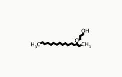 CCCCCCCCCCCCCC(CC)OCCCO